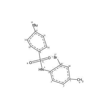 Cc1ccc(NS(=O)(=O)c2ccc(C(C)(C)C)cc2)c(Br)c1